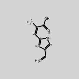 C=Cc1c[nH]c(C=C(C)C(=O)O)n1